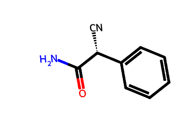 N#C[C@@H](C(N)=O)c1ccccc1